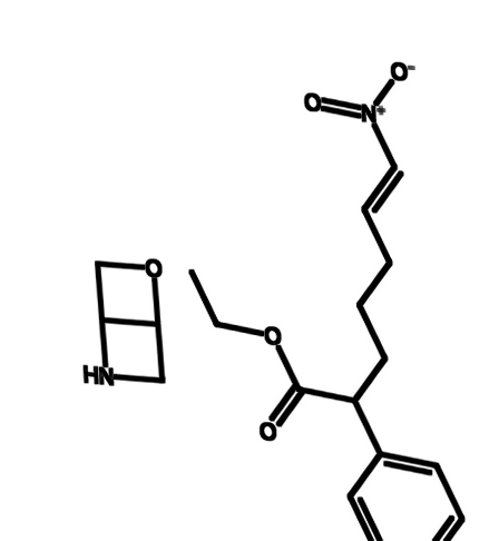 C1OC2CNC12.CCOC(=O)C(CCCC=C[N+](=O)[O-])c1ccccc1